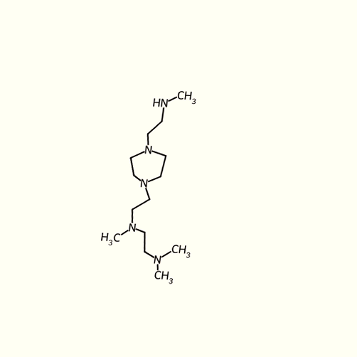 CNCCN1CCN(CCN(C)CCN(C)C)CC1